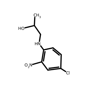 CC(O)CNc1ccc(Cl)cc1[N+](=O)[O-]